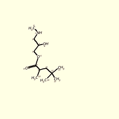 CNCC(O)COC(=O)C(C)CC(C)(C)C